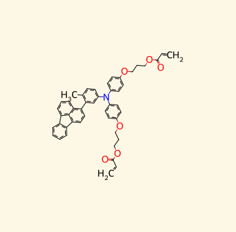 C=CC(=O)OCCCOc1ccc(N(c2ccc(OCCCOC(=O)C=C)cc2)c2ccc(C)c(-c3ccc4c5c(cccc35)-c3ccccc3-4)c2)cc1